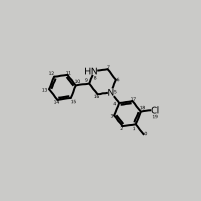 Cc1ccc(N2CCNC(c3ccccc3)C2)cc1Cl